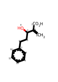 C=C(C(=O)O)C(O)CCc1ccccc1